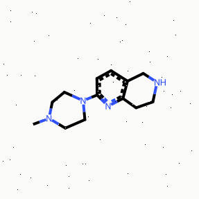 CN1CCN(c2ccc3c(n2)CCNC3)CC1